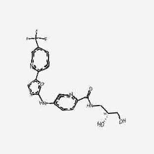 O=C(NC[C@@H](O)CO)c1ccc(Nc2ncc(-c3ccc(C(F)(F)F)cn3)o2)cn1